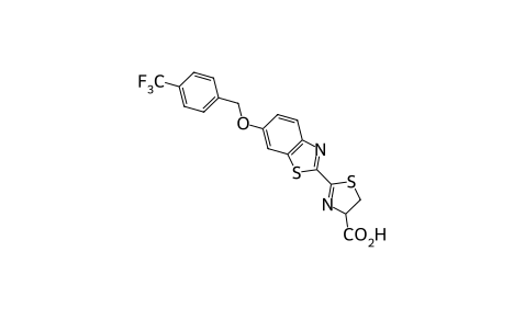 O=C(O)C1CSC(c2nc3ccc(OCc4ccc(C(F)(F)F)cc4)cc3s2)=N1